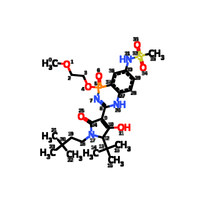 COCCOP1(=O)N=C(C2=C(O)C(C(C)(C)C)N(CCC(C)(C)C)C2=O)Nc2ccc(NS(C)(=O)=O)cc21